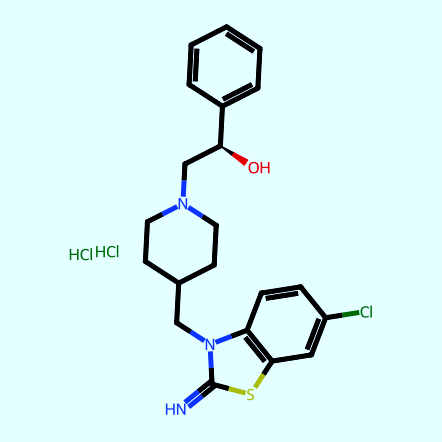 Cl.Cl.N=c1sc2cc(Cl)ccc2n1CC1CCN(C[C@H](O)c2ccccc2)CC1